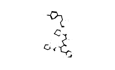 CC(=O)N1CCC[C@@H]1C(=O)NC(Cc1cnc[nH]1)C(=O)C[C@@H](C(=O)N1CCC[C@H]1C(=O)C[C@@H](C)Cc1ccc(O)cc1)C(C)C